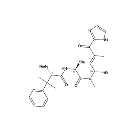 CN[C@H](C(=O)N[C@H](C(=O)N(C)[C@H](/C=C(\C)C(=O)c1ncc[nH]1)C(C)C)C(C)(C)C)C(C)(C)c1ccccc1